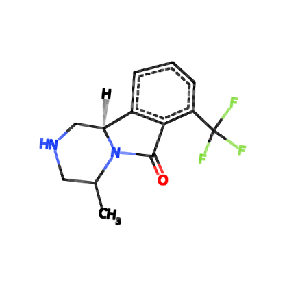 CC1CNC[C@H]2c3cccc(C(F)(F)F)c3C(=O)N12